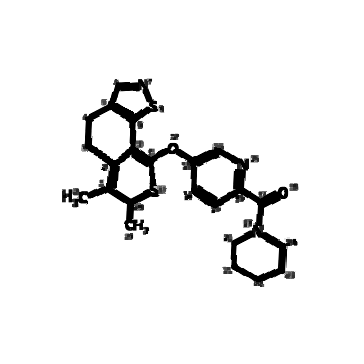 CC1=C2CCc3cnsc3C2=C(Oc2ccc(C(=O)N3CCCCC3)nc2)SC1C